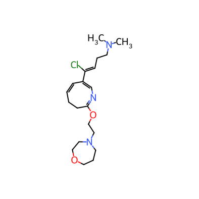 CN(C)CCC=C(Cl)C1=C/N=C(/OCCN2CCCOCC2)CC/C=C\1